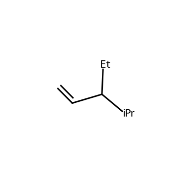 [CH2]C(C)C(C=C)CC